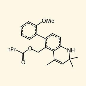 CCCC(=O)OCc1c(-c2ccccc2OC)ccc2c1C(C)=CC(C)(C)N2